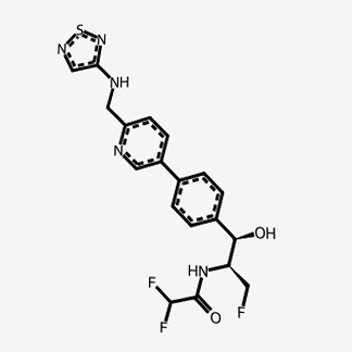 O=C(N[C@H](CF)[C@H](O)c1ccc(-c2ccc(CNc3cnsn3)nc2)cc1)C(F)F